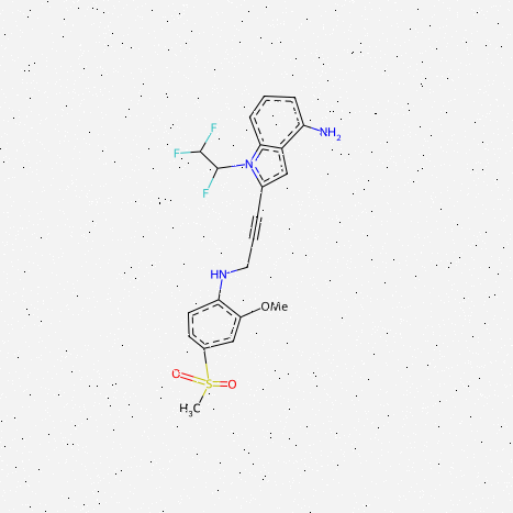 COc1cc(S(C)(=O)=O)ccc1NCC#Cc1cc2c(N)cccc2n1C(F)C(F)F